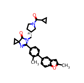 Cc1cc2cc(-c3ccc(C4=NC5(CC5)C(=O)N4C[C@@H]4CCN(C(=O)C5CC5)C4)cc3C)ccc2o1